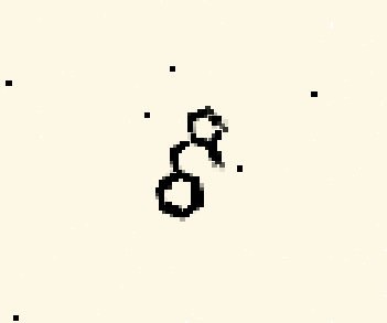 O=C1N=NCN1Cc1ccccc1